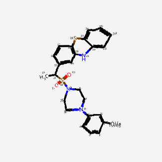 COc1cccc(N2CCN(S(=O)(=O)C(C)c3ccc4c(c3)Nc3ccccc3S4)CC2)c1